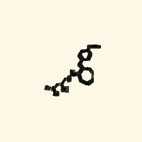 CCN(CC)CC(O)CO/N=C1\CCCCC\C1=C/c1ccc(OC)cc1